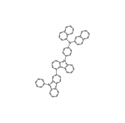 c1ccc(-n2c3ccccc3c3ccc(-c4cccc5c4c4ccccc4n5-c4ccc(N(c5ccc6ccccc6c5)c5cccc6ccccc56)cc4)cc32)cc1